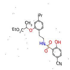 CCOC(=O)C(C)Oc1cc(C(C)C)ccc1CCNS(=O)(=O)c1cc(C#N)ccc1O